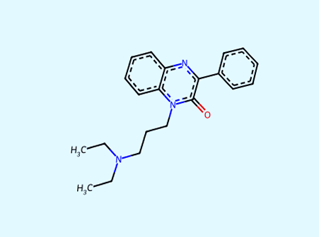 CCN(CC)CCCn1c(=O)c(-c2ccccc2)nc2ccccc21